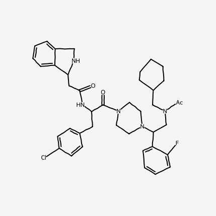 CC(=O)N(CC1CCCCC1)CC(c1ccccc1F)N1CCN(C(=O)C(Cc2ccc(Cl)cc2)NC(=O)CC2NCc3ccccc32)CC1